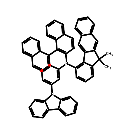 CC1(C)c2cc3ccccc3cc2-c2c(N(c3cccc(-n4c5ccccc5c5ccccc54)c3)c3ccc4ccccc4c3-c3cccc4ccccc34)cccc21